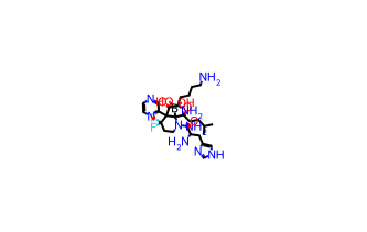 CC(C)CC(N)C(=O)C1(B(O)O)N(C(=O)C(N)Cc2c[nH]cn2)CCC(F)(F)C1(C(=O)C(N)CCCCN)c1cnccn1